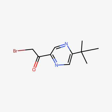 CC(C)(C)c1cnc(C(=O)CBr)cn1